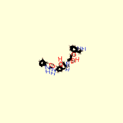 O=C(Nc1ccccc1)Nc1ccc(C[C@@H](CO)NC[C@H](O)COc2cccc3[nH]ccc23)cc1